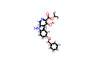 COc1c(C(=O)OC(C)C)ncc2[nH]c3ccc(OCc4ccccc4)cc3c12